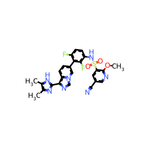 COc1ncc(C#N)cc1S(=O)(=O)Nc1ccc(F)c(-c2ccc3c(-c4nc(C)c(C)[nH]4)ncn3c2)c1F